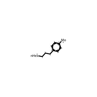 CCCCCCCCCc1cc[c]([Mo])cc1